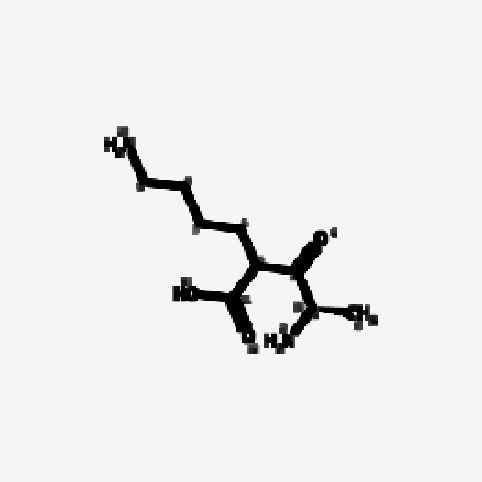 C[C@H](N)C(=O)C(CCCCN)C(=O)O